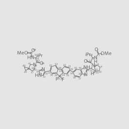 COC(=O)NC(C(=O)N1C2CC[C@@H](C2)C1c1nc2ccc(-c3ccc4c(c3)C(F)(F)c3cc(-c5c[nH]c([C@@H]6CC7(CC7)CN6C(=O)C(NC(=O)OC)C(C)C)n5)ccc3-4)cc2[nH]1)C(C)C